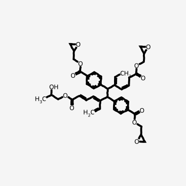 C=C/C(=C\C=C\C(=O)OCC(C)O)C(c1ccc(C(=O)OCC2CO2)cc1)C(C(/C=C\CC(=O)OCC1CO1)=C/C)c1ccc(C(=O)OCC2CO2)cc1